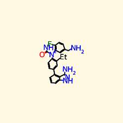 CCc1cc(-c2cccc3[nH]nc(N)c23)ccc1N(C(N)=O)c1cc(CN)ccc1F